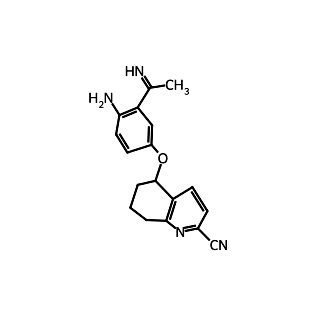 CC(=N)c1cc(OC2CCCc3nc(C#N)ccc32)ccc1N